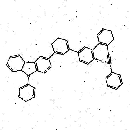 Cc1ccc(C2=CCCC(c3ccc4c(c3)C3C=CC=CC3N4C3=CCCC=C3)=C2)cc1C1=C(C#Cc2ccccc2)CCC=C1